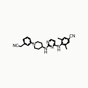 Cc1cc(C#N)cc(C)c1Nc1ccnc(NC2CCN(c3cccc(CC#N)c3)CC2)n1